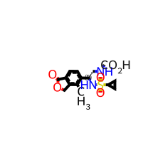 Cc1c([C@H](CNC(=O)O)NS(=O)(=O)C2CC2)ccc2c1COC2=O